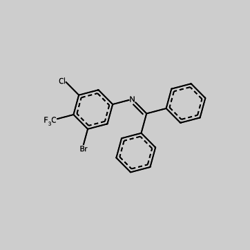 FC(F)(F)c1c(Cl)cc(N=C(c2ccccc2)c2ccccc2)cc1Br